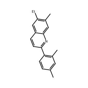 CCc1cc2ccc(-c3ccc(C)cc3C)nc2cc1C